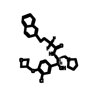 O=C(N[C@H](CN1CCCC1)[C@H](O)c1ccc(OC2COC2)c(Cl)c1)C(F)(F)CCc1ccc2ccccc2c1